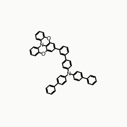 c1ccc(-c2ccc(N(c3ccc(-c4ccccc4)cc3)c3ccc(-c4cccc(-c5cc6c7c(c5)Oc5ccccc5N7c5ccccc5O6)c4)cc3)cc2)cc1